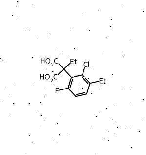 CCc1ccc(F)c(C(CC)(C(=O)O)C(=O)O)c1Cl